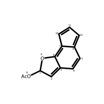 CC(=O)OC1C=c2ccc3c(c2O1)C=CC=3